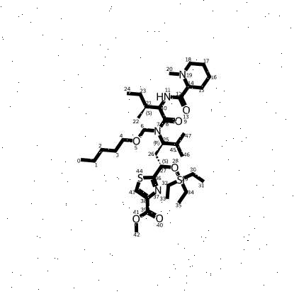 CCCCCOCN(C(=O)C(NC(=O)C1CCCCN1C)[C@@H](C)CC)[C@H](C[C@H](O[Si](CC)(CC)CC)c1nc(C(=O)OC)cs1)C(C)C